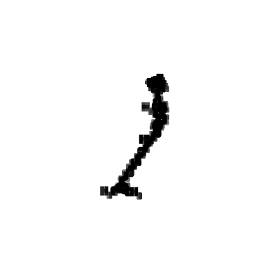 COCC(CCCOCCSSCCOCCCNCCOc1ccc2c(c1)CCC1C2CCC2(C)C(OCCCOC(C(F)(F)F)(C(F)(F)F)C(F)(F)F)CCC12)COC